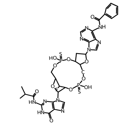 CC(C)C(=O)Nc1nc2c(ncn2C2OC3COP(O)(=S)OC4CC(n5cnc6c(NC(=O)c7ccccc7)ncnc65)OC4COP(O)(=S)OC2C3F)c(=O)[nH]1